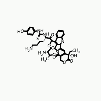 CC[C@@]1(O)C(=O)OCc2c1cc1n(c2=O)Cc2c-1nc1ccccc1c2C(OC(=O)[C@@H](N)C(C)C)C(=O)[C@H](CCCCN)NC(=S)Nc1ccc(O)cc1